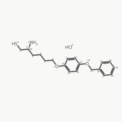 Cl.N[C@H](CS)CCCCOc1ccc(OCc2ccccc2)cc1